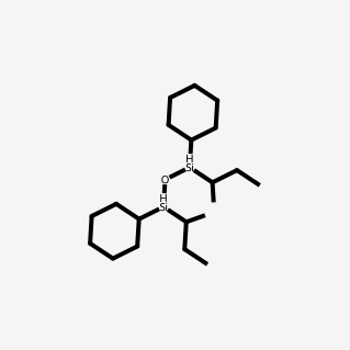 CCC(C)[SiH](O[SiH](C(C)CC)C1CCCCC1)C1CCCCC1